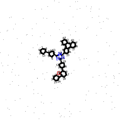 c1ccc(-c2ccc(-c3nc(-c4ccc(-c5cccc6c5oc5ccccc56)cc4)nc(-c4ccc5c6ccccc6c6ccccc6c5c4)n3)cc2)cc1